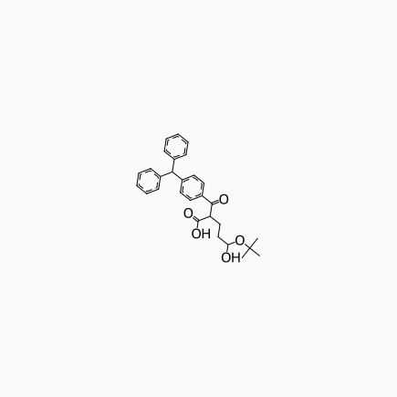 CC(C)(C)OC(O)CCC(C(=O)O)C(=O)c1ccc(C(c2ccccc2)c2ccccc2)cc1